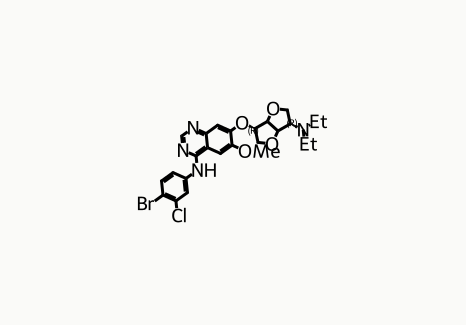 CCN(CC)[C@@H]1COC2C1OC[C@H]2Oc1cc2ncnc(Nc3ccc(Br)c(Cl)c3)c2cc1OC